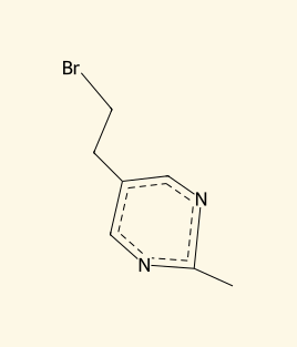 Cc1ncc(CCBr)cn1